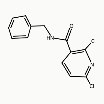 O=C(NCc1ccccc1)c1ccc(Cl)nc1Cl